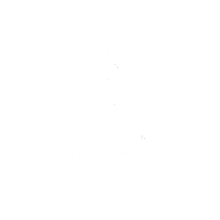 C=CCN(C)CC1CCC(CN(C)C(=O)Oc2ccc(Cl)cc2)CC1